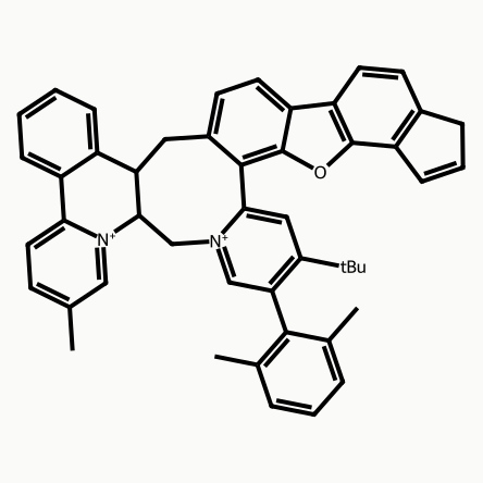 Cc1ccc2[n+](c1)C1C[n+]3cc(-c4c(C)cccc4C)c(C(C)(C)C)cc3-c3c(ccc4c3oc3c5c(ccc34)CC=C5)CC1c1ccccc1-2